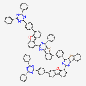 c1ccc(-c2nc(-c3ccccc3)nc(-c3ccc(-c4ccc5c(c4)oc4c(-c6nc(-c7cccc(-c8cccc9c8sc8c(-c%10ccccc%10)nc(-c%10cccc%11oc%12c(-c%13ccc(-c%14nc(-c%15ccccc%15)nc(-c%15ccccc%15)n%14)cc%13)cccc%12c%10%11)nc89)c7)c7sc8ccccc8c7n6)cccc45)cc3)n2)cc1